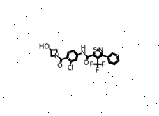 O=C(Nc1ccc(C(=O)N2CC(O)C2)c(Cl)c1)c1snc(-c2ccccc2)c1C(F)(F)F